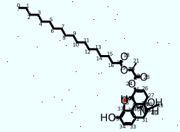 CCCCCCCCCCCCCCCCCC(=O)O[C@@H](C)C(=O)OC1=CC[C@@]2(O)[C@H]3Cc4ccc(O)c5c4[C@@]2(CCN3C)[C@H]1O5